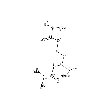 CCCCC(CC)C(=O)OCCC(OC(=O)C(CC)CCCC)C(C)CCCC